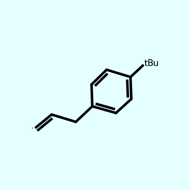 [CH]=CCc1ccc(C(C)(C)C)cc1